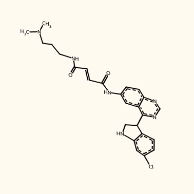 CN(C)CCCNC(=O)C=CC(=O)Nc1ccc2ncnc(C3CNc4cc(Cl)ccc43)c2c1